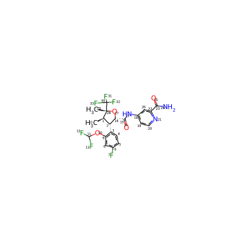 C[C@@H]1[C@@H](c2ccc(F)cc2OC(F)F)[C@@H](C(=O)Nc2ccnc(C(N)=O)c2)O[C@@]1(C)C(F)(F)F